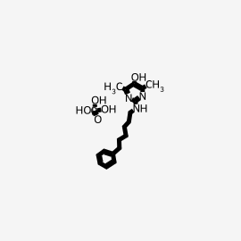 Cc1nc(NCCCCCCc2ccccc2)nc(C)c1O.O=P(O)(O)O